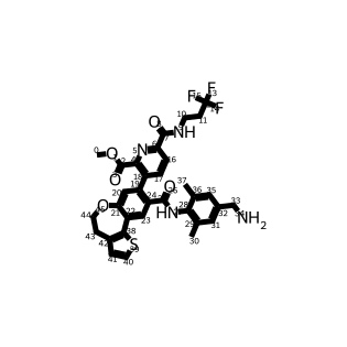 COC(=O)c1nc(C(=O)NCCC(F)(F)F)ccc1-c1cc2c(cc1C(=O)Nc1c(C)cc(CN)cc1C)-c1sccc1CCO2